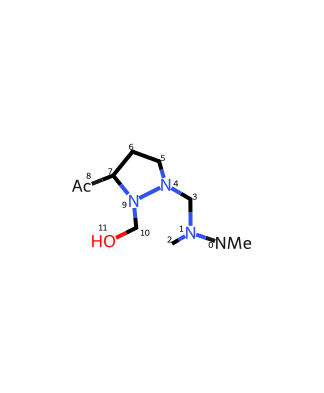 CNN(C)CN1CCC(C(C)=O)N1CO